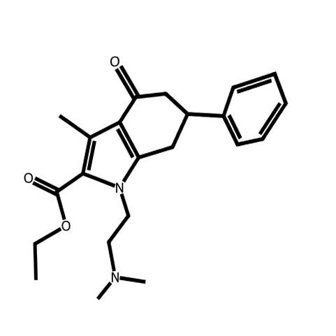 CCOC(=O)c1c(C)c2c(n1CCN(C)C)CC(c1ccccc1)CC2=O